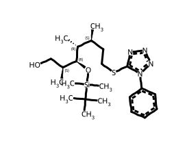 C[C@@H]([C@@H](O[Si](C)(C)C(C)(C)C)[C@@H](C)CO)[C@@H](C)CCSc1nnnn1-c1ccccc1